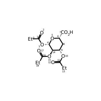 CCC(=O)O[C@@H]1O[C@H](C(=O)O)C[C@H](OC(=O)CC)[C@H]1OC(=O)CC